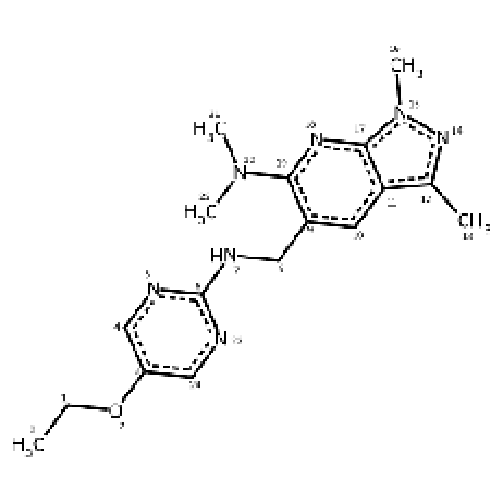 CCOc1cnc(NCc2cc3c(C)nn(C)c3nc2N(C)C)nc1